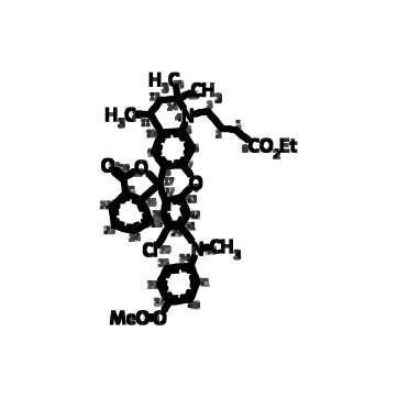 CCOC(=O)CCCN1c2cc3c(cc2C(C)CC1(C)C)C1(OC(=O)c2ccccc21)c1cc(Cl)c(N(C)c2ccc(OOC)cc2)cc1O3